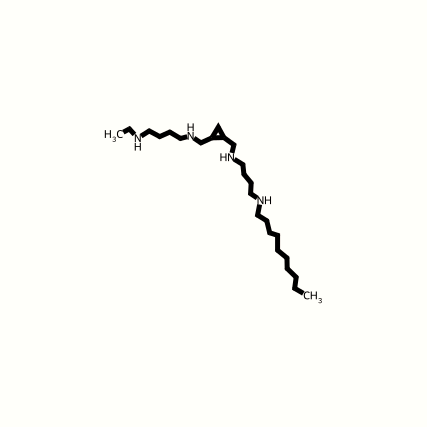 CCCCCCCCCCNCCCCNCC1CC1CNCCCCNCC